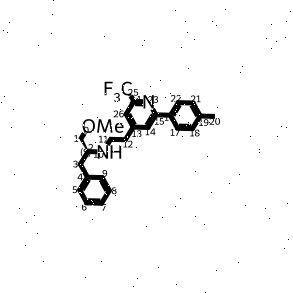 COC[C@H](Cc1ccccc1)NCCc1cc(-c2ccc(C)cc2)nc(C(F)(F)F)c1